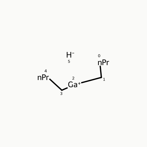 CCC[CH2][Ga+][CH2]CCC.[H-]